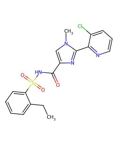 CCc1ccccc1S(=O)(=O)NC(=O)c1cn(C)c(-c2ncccc2Cl)n1